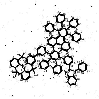 CC1(C)C2=C3C(CC=C2)C(C)(C)c2cccc4c2N3c2c1cc(-c1cccc(-c3c(-c5ccccc5)c(-c5ccccc5)c(-c5cccc(-c6nc7ccccc7n6-c6ccccc6)c5)c5c6cccc7c8c(-c9ccccc9)c(-c9ccccc9)c(-c9ccccc9)c(-c9ccccc9)c8c8cccc(c35)c8c76)c1)cc2C4(C)C